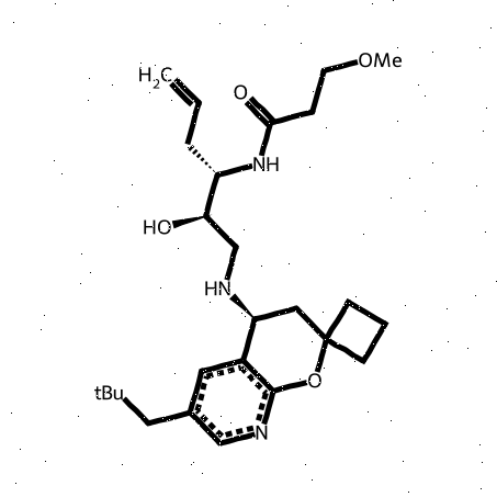 C=CC[C@H](NC(=O)CCOC)[C@H](O)CN[C@H]1CC2(CCC2)Oc2ncc(CC(C)(C)C)cc21